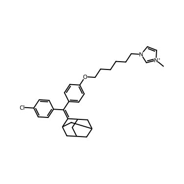 C[n+]1ccn(CCCCCCOc2ccc(C(=C3C4CC5CC(C4)CC3C5)c3ccc(Cl)cc3)cc2)c1